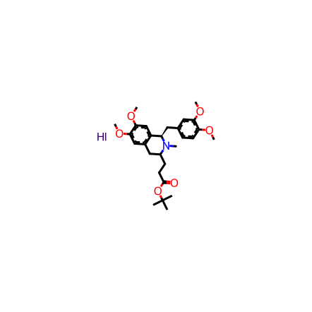 COc1ccc(C[C@@H]2c3cc(OC)c(OC)cc3CC(CCC(=O)OC(C)(C)C)N2C)cc1OC.I